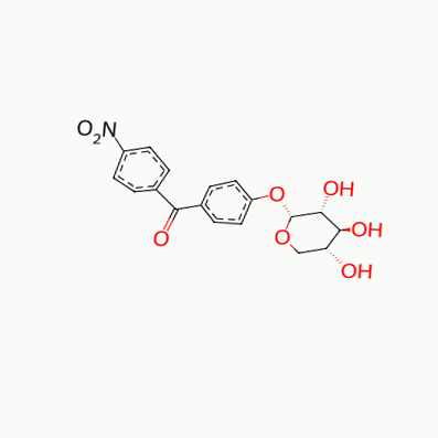 O=C(c1ccc(O[C@H]2OC[C@@H](O)[C@H](O)[C@H]2O)cc1)c1ccc([N+](=O)[O-])cc1